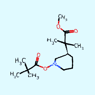 COC(=O)C(C)(C)[C@H]1CCCN(OC(=O)C(C)(C)C)C1